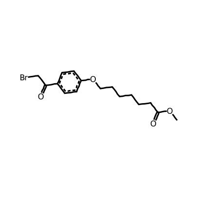 COC(=O)CCCCCCOc1ccc(C(=O)CBr)cc1